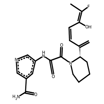 C=C(/C=C\C(O)=C(/C)F)[C@@H]1CCCCN1C(=O)C(=O)Nc1cncc(C(N)=O)c1